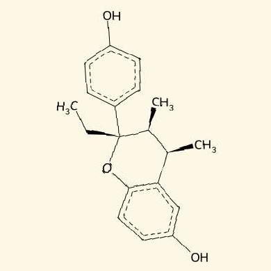 CC[C@]1(c2ccc(O)cc2)Oc2ccc(O)cc2[C@H](C)[C@@H]1C